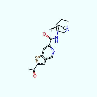 CC(=O)c1cc2cnc(C(=O)N[C@H]3CN4CCC3CC4)cc2s1